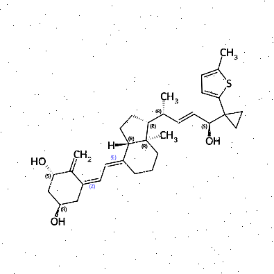 C=C1/C(=C\C=C2/CCC[C@]3(C)[C@@H]([C@H](C)C=C[C@H](O)C4(c5ccc(C)s5)CC4)CC[C@@H]23)C[C@@H](O)C[C@@H]1O